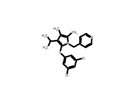 [CH2]c1c(C(C)C)c(Sc2cc(Cl)cc(Cl)c2)n(Cc2ccncc2)c1C